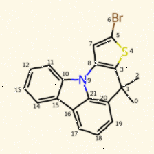 CC1(C)c2sc(Br)cc2-n2c3ccccc3c3cccc1c32